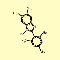 CCC(C)c1cc(C(C)(C)C)nc(C)c1-c1nc2cc(C)c(C)cc2n1C(C)C